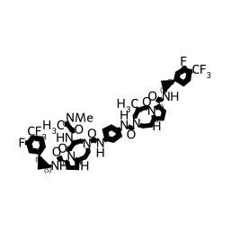 CN[C@@H](C)C(=O)N[C@H]1CN(C(=O)Nc2ccc(NC(=O)N3CC[C@H]4CC[C@@H](C(=O)N[C@H]5C[C@@H]5c5ccc(C(F)(F)F)c(F)c5)N4C(=O)[C@H](C)C3)cc2)CC[C@H]2CC[C@@H](C(=O)N[C@H]3C[C@@H]3c3ccc(C(F)(F)F)c(F)c3)N2C1=O